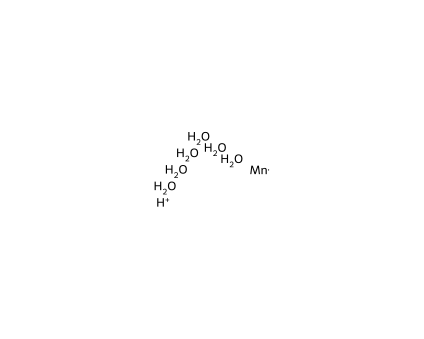 O.O.O.O.O.O.[H+].[Mn]